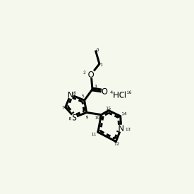 CCOC(=O)c1ncsc1-c1ccncc1.Cl